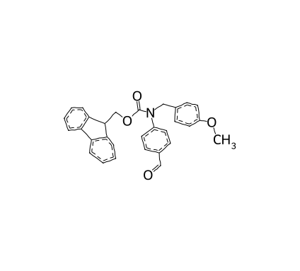 COc1ccc(CN(C(=O)OCC2c3ccccc3-c3ccccc32)c2ccc(C=O)cc2)cc1